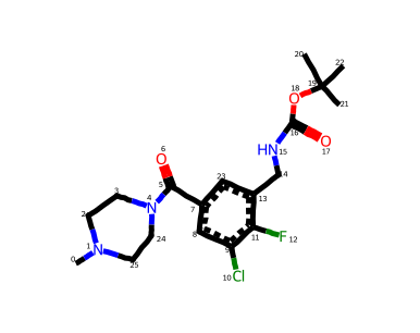 CN1CCN(C(=O)c2cc(Cl)c(F)c(CNC(=O)OC(C)(C)C)c2)CC1